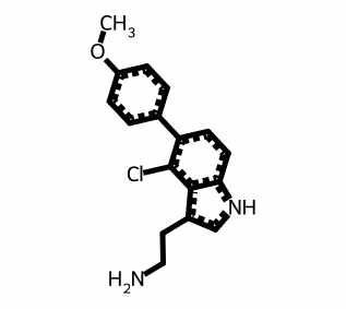 COc1ccc(-c2ccc3[nH]cc(CCN)c3c2Cl)cc1